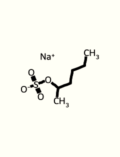 CCCCC(C)OS(=O)(=O)[O-].[Na+]